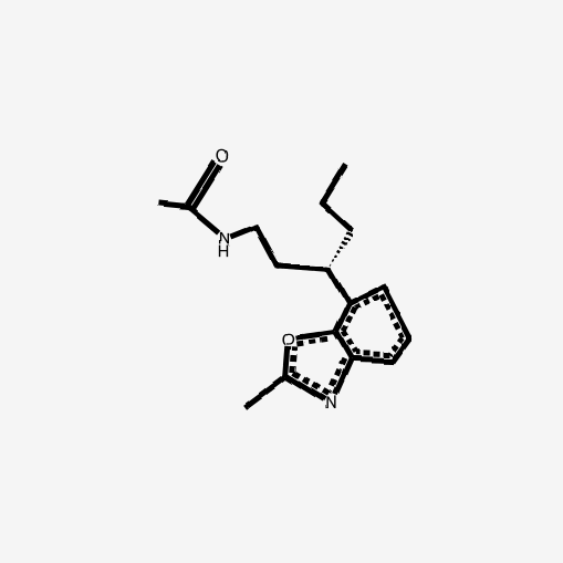 CCC[C@@H](CCNC(C)=O)c1cccc2nc(C)oc12